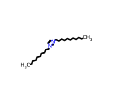 CCCCCCCCCCCN1C=CN(CCCCCCCCCC)C1